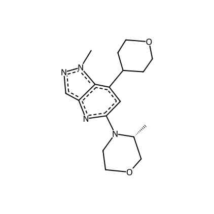 C[C@@H]1COCCN1c1cc(C2CCOCC2)c2c(cnn2C)n1